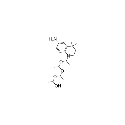 CC(O)OC(C)OC(C)OC(C)N1CCC(C)(C)c2cc(N)ccc21